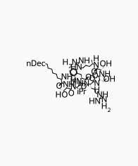 CCCCCCCCCCCCCCCCC(N)C(=O)N[C@H](C(=O)N[C@H](C(=O)N[C@@H](Cc1ccccc1)C(=O)N[C@@H](CCCNC(=N)N)C(=O)N[C@@H](CO)C(=O)N[C@@H](CO)C(=O)N[C@H](C)CCCNC(=N)N)C(C)C)[C@@H](C)O